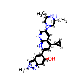 C[C@H]1CN(c2cnc3nc(-c4cc5cn(C)nc5cc4O)cc(C4CC4)c3c2)C[C@H](C)N1